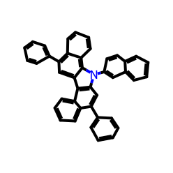 c1ccc(-c2cc3c(c4ccccc24)c2cc(-c4ccccc4)c4ccccc4c2n3-c2ccc3ccccc3c2)cc1